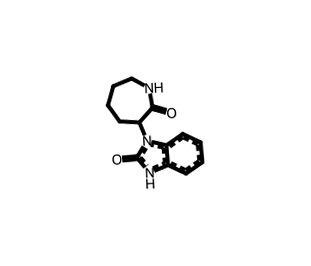 O=C1NCCCCC1n1c(=O)[nH]c2ccccc21